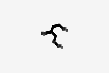 C=C(/C=C\C)COC